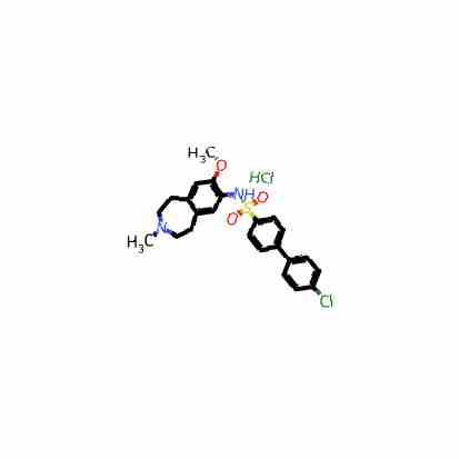 COc1cc2c(cc1NS(=O)(=O)c1ccc(-c3ccc(Cl)cc3)cc1)CCN(C)CC2.Cl